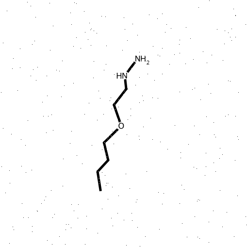 CCCCOCCNN